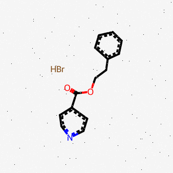 Br.O=C(OCCc1ccccc1)c1ccncc1